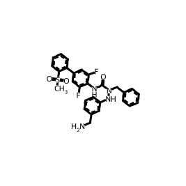 CS(=O)(=O)c1ccccc1-c1cc(F)c(NC(=O)N(Cc2ccccc2)Nc2cccc(CN)c2)c(F)c1